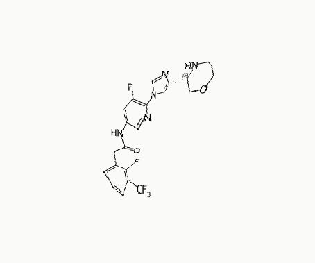 O=C(Cc1cccc(C(F)(F)F)c1F)Nc1cnc(-n2cnc([C@H]3COCCN3)c2)c(F)c1